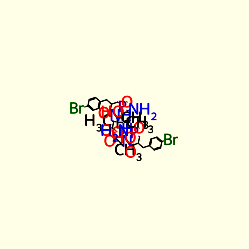 CCC(C)(NC(=O)C(Cc1ccc(Br)cc1)CP(=O)(O)C(C)N)C(=O)OC(=O)C(C)NC(=O)C(Cc1ccc(Br)cc1)CP(=O)(O)C(C)N